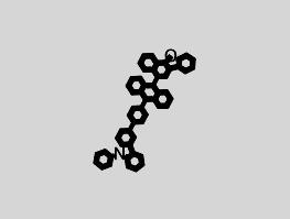 c1ccc(-n2c3ccccc3c3cc(-c4ccc(-c5c6ccccc6c(-c6cc7c8ccccc8oc7c7ccccc67)c6ccccc56)cc4)ccc32)cc1